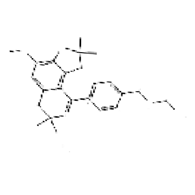 CCOc1cc2c(c3c1OC(C)(C)C3)C(c1ccc(COCC(=O)O)cc1)=NC(C)(C)C2.Cl